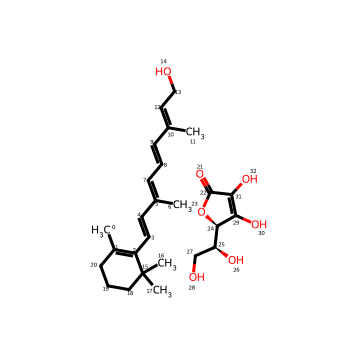 CC1=C(/C=C/C(C)=C/C=C/C(C)=C/CO)C(C)(C)CCC1.O=C1O[C@H]([C@@H](O)CO)C(O)=C1O